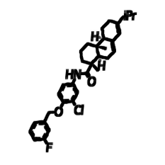 CC(C)C1=CC2=CC[C@@H]3[C@](C)(CCC[C@@]3(C)C(=O)Nc3ccc(OCc4cccc(F)c4)c(Cl)c3)[C@H]2CC1